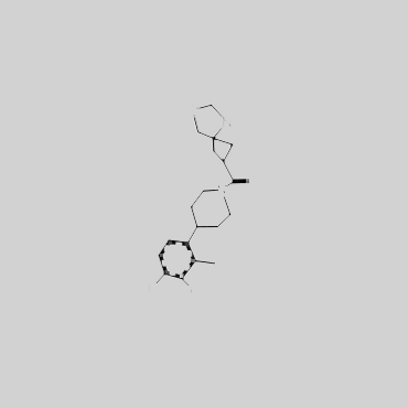 Cc1c(F)ccc(C2CCN(C(=O)C3CC4(COCN4)C3)CC2)c1F